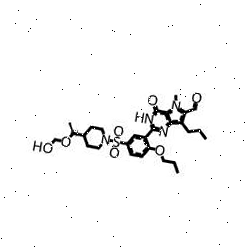 CCCOc1ccc(S(=O)(=O)N2CCC([C@H](C)OCO)CC2)cc1-c1nc2c(CCC)c(C=O)n(C)c2c(=O)[nH]1